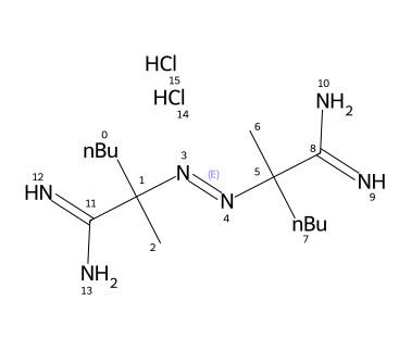 CCCCC(C)(/N=N/C(C)(CCCC)C(=N)N)C(=N)N.Cl.Cl